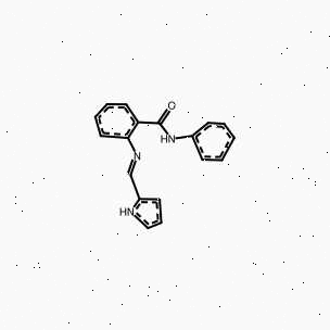 O=C(Nc1ccccc1)c1ccccc1/N=C/c1ccc[nH]1